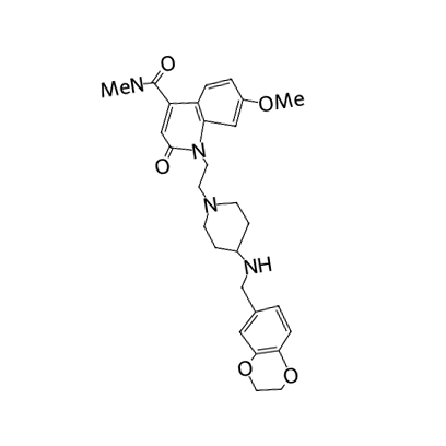 CNC(=O)c1cc(=O)n(CCN2CCC(NCc3ccc4c(c3)OCCO4)CC2)c2cc(OC)ccc12